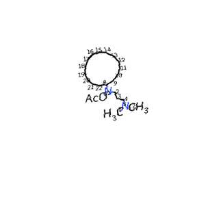 CC(=O)ON(CCCN(C)C)C1CCCCCCCCCCCCCC1